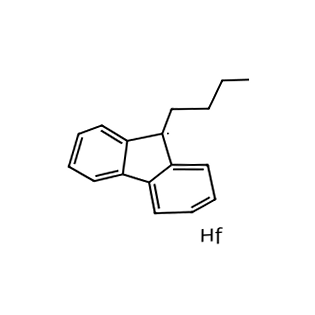 CCCC[C]1c2ccccc2-c2ccccc21.[Hf]